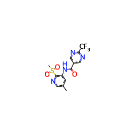 Cc1cnc(S(C)(=O)=O)c(NC(=O)c2cnc(C(F)(F)F)nc2)c1